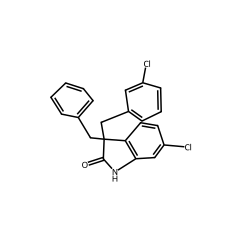 O=C1Nc2cc(Cl)ccc2C1(Cc1ccccc1)Cc1cccc(Cl)c1